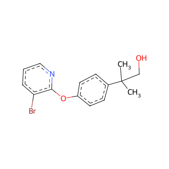 CC(C)(CO)c1ccc(Oc2ncccc2Br)cc1